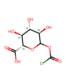 O=C(Cl)OC1O[C@H](C(=O)O)[C@@H](O)[C@H](O)[C@H]1O